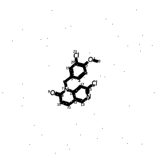 COc1ccc(Cn2c(=O)ccc3cnc(Cl)cc32)cc1Cl